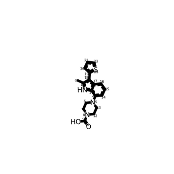 Cc1[nH]c2c(N3CCN(C(=O)O)CC3)cccc2c1-c1cccs1